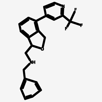 FC(F)(F)c1cc(-c2cccc3c2COC3CNCc2ccccc2)ccn1